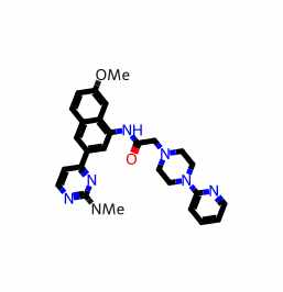 CNc1nccc(-c2cc(NC(=O)CN3CCN(c4ccccn4)CC3)c3cc(OC)ccc3c2)n1